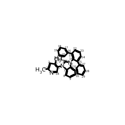 Cc1cc(C)c(N2c3ccccc3N(c3c(-c4ccccc4)cccc3-c3ccccc3)[C@H]2C)cn1